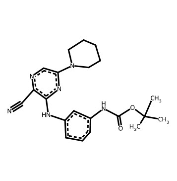 CC(C)(C)OC(=O)Nc1cccc(Nc2nc(N3CCCCC3)cnc2C#N)c1